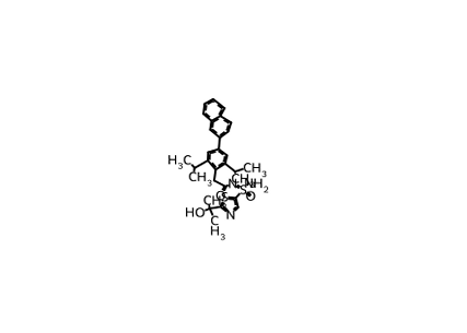 CC(C)c1cc(-c2ccc3ccccc3c2)cc(C(C)C)c1CC(=O)N=S(N)(=O)c1cnc(C(C)(C)O)s1